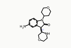 Nc1ccc2c(c1)/C(=C1\COCCN1)C(=O)N2C1CCOCC1